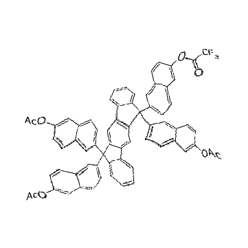 CC(=O)Oc1ccc2cc(C3(c4ccc5cc(OC(C)=O)ccc5c4)c4ccccc4-c4cc5c(cc43)-c3ccccc3C5(c3ccc4cc(OC(C)=O)ccc4c3)c3ccc4cc(OC(=O)C(F)(F)F)ccc4c3)ccc2c1